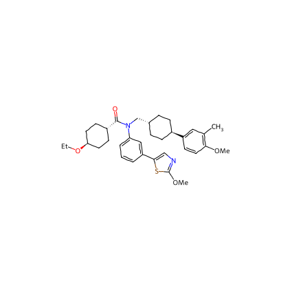 CCO[C@H]1CC[C@H](C(=O)N(C[C@H]2CC[C@H](c3ccc(OC)c(C)c3)CC2)c2cccc(-c3cnc(OC)s3)c2)CC1